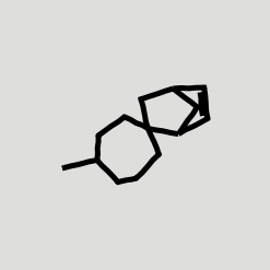 CC1CCCC2(CC1)CC1C=CC2C1